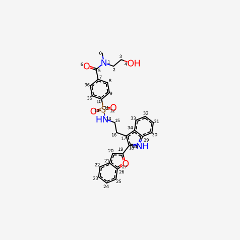 CN(CCO)C(=O)c1ccc(S(=O)(=O)NCCc2c(-c3cc4ccccc4o3)[nH]c3ccccc23)cc1